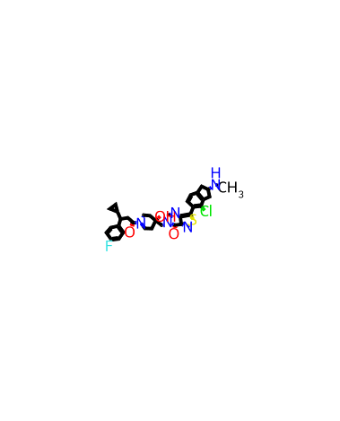 CNC1Cc2ccc(-c3snc4c(=O)n(CC5(O)CCN(C(=O)CC(c6ccc(F)cc6)C6CC6)CC5)cnc34)c(Cl)c2C1